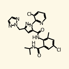 Cc1cc(Cl)cc(C(=O)NC(C)C)c1NC(=O)c1cc(Cn2nccn2)nn1-c1ncccc1Cl